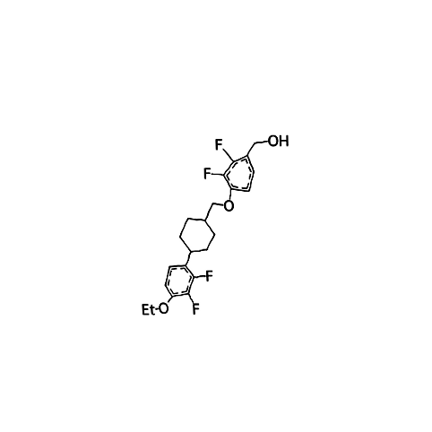 CCOc1ccc(C2CCC(COc3ccc(CO)c(F)c3F)CC2)c(F)c1F